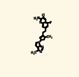 Cc1ncnc2c1ccn2C1C=C(CCc2cc(F)c3cc(Cl)c(N)nc3c2)C(C)C1